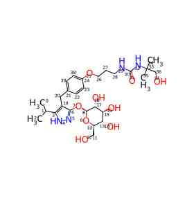 CC(C)c1[nH]nc(O[C@@H]2O[C@H](CO)[C@@H](O)[C@H](O)[C@H]2O)c1Cc1ccc(OCCCNC(=O)NC(C)(C)CO)cc1